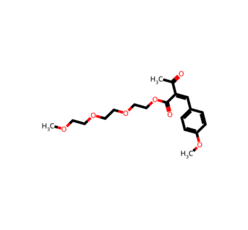 COCCOCCOCCOC(=O)/C(=C\c1ccc(OC)cc1)C(C)=O